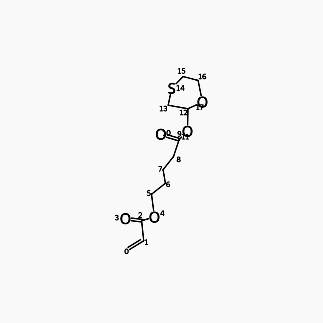 C=CC(=O)OCCCCC(=O)OC1CSCCO1